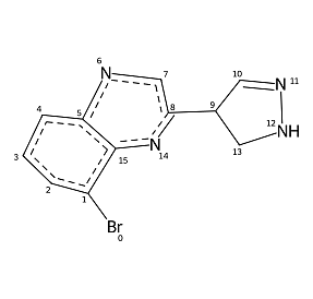 Brc1cccc2ncc(C3C=NNC3)nc12